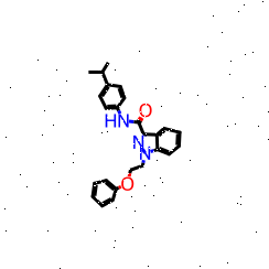 CC(C)c1ccc(NC(=O)c2nn(CCOc3ccccc3)c3ccccc23)cc1